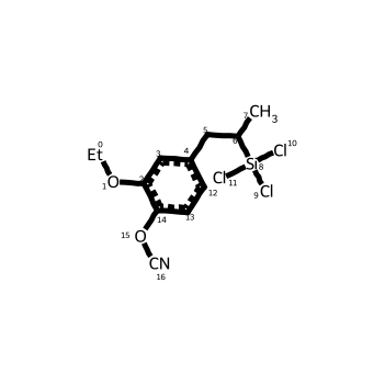 CCOc1cc(CC(C)[Si](Cl)(Cl)Cl)ccc1OC#N